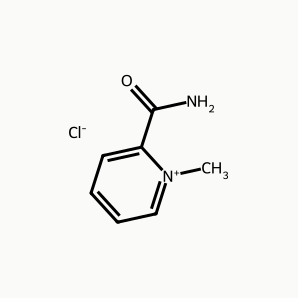 C[n+]1ccccc1C(N)=O.[Cl-]